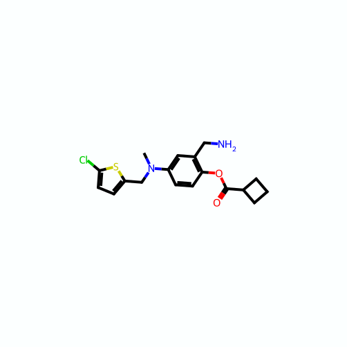 CN(Cc1ccc(Cl)s1)c1ccc(OC(=O)C2CCC2)c(CN)c1